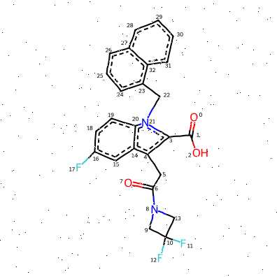 O=C(O)c1c(CC(=O)N2CC(F)(F)C2)c2cc(F)ccc2n1Cc1cccc2ccccc12